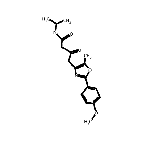 COc1ccc(-c2nc(CC(=O)CC(=O)NC(C)C)c(C)o2)cc1